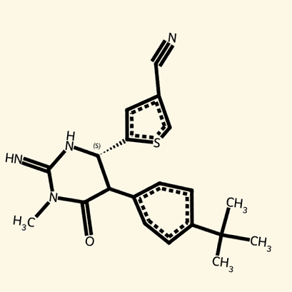 CN1C(=N)N[C@H](c2cc(C#N)cs2)C(c2ccc(C(C)(C)C)cc2)C1=O